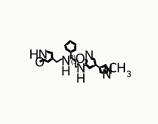 Cn1cc(-c2cnc3c(c2)NC[C@@H]([C@H](NCCc2cc[nH]c(=O)c2)c2ccccc2)O3)cn1